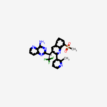 Cc1ncccc1-c1nc2c(S(C)(=O)=O)cccc2cc1[C@H](c1nc(N)c2ncccc2n1)C(F)(F)F